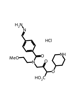 COCCN(CC(=O)C(OC1CCNCC1)C(=O)O)C(=O)c1ccc(C=NN)cc1.Cl